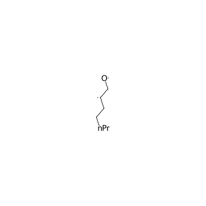 CCCCC[CH]C[O]